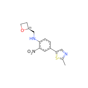 Cc1ncc(-c2ccc(NC[C@@H]3CCO3)c([N+](=O)[O-])c2)s1